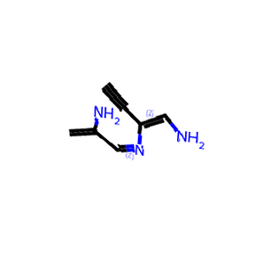 C#CC(=C/N)/N=C\C(=C)N